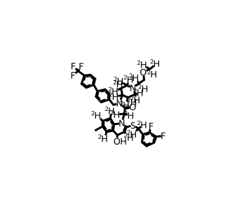 [2H]C1=C(SC([2H])([2H])c2cccc(F)c2F)N(C([2H])([2H])C(=O)N(Cc2ccc(-c3ccc(C(F)(F)F)cc3)cc2)C2([2H])C([2H])([2H])C([2H])([2H])N(C([2H])([2H])COC([2H])([2H])[2H])C([2H])([2H])C2([2H])[2H])c2c([2H])c([2H])c(C)c([2H])c2C1O